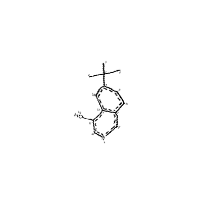 CC(C)(C)c1ccc2cncc(O)c2c1